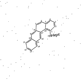 CCCCCCCc1cccc2ccc3cc4ccccc4cc3c12